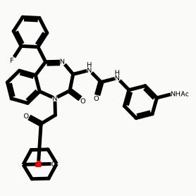 CC(=O)Nc1cccc(NC(=O)NC2N=C(c3ccccc3F)c3ccccc3N(CC(=O)N3CC4CCC(CC4)C3)C2=O)c1